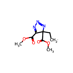 [CH2]CC1(C(=O)OC)N=NN=C1C(=O)OC